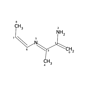 C=C(N)/C(C)=N/C=C\C